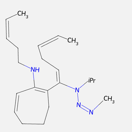 C/C=C\C/C=C(\C1=C(NCC/C=C\C)C=CCCC1)N(/N=N\C)C(C)C